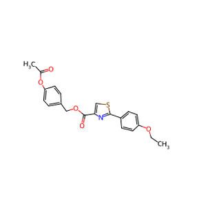 CCOc1ccc(-c2nc(C(=O)OCc3ccc(OC(C)=O)cc3)cs2)cc1